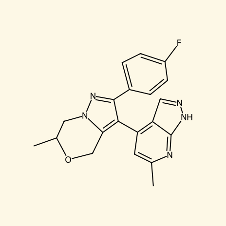 Cc1cc(-c2c(-c3ccc(F)cc3)nn3c2COC(C)C3)c2cn[nH]c2n1